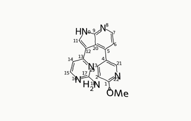 COc1ccc(-c2ccnc3[nH]cc(-c4ccnc(N)n4)c23)cn1